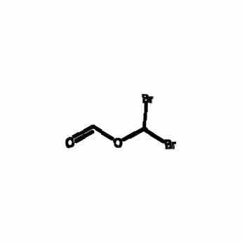 O=COC(Br)Br